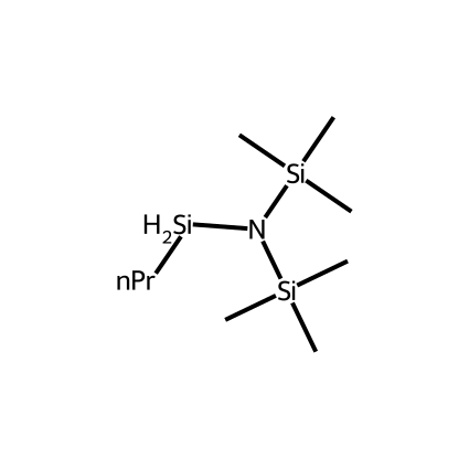 CCC[SiH2]N([Si](C)(C)C)[Si](C)(C)C